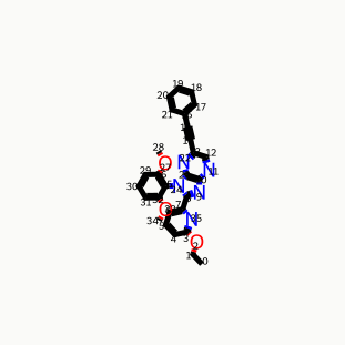 CCOc1cccc(-c2nc3ncc(C#Cc4ccccc4)nc3n2-c2c(OC)cccc2OC)n1